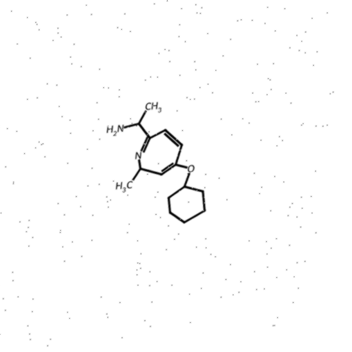 CC1C=C(OC2CCCCC2)C=CC(C(C)N)=N1